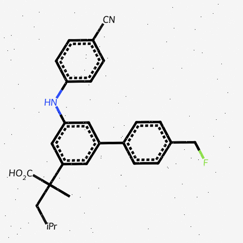 CC(C)CC(C)(C(=O)O)c1cc(Nc2ccc(C#N)cc2)cc(-c2ccc(CF)cc2)c1